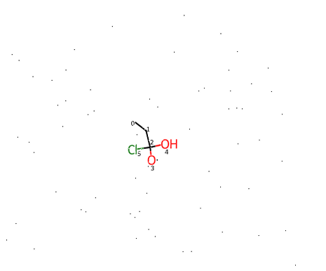 CCC([O])(O)Cl